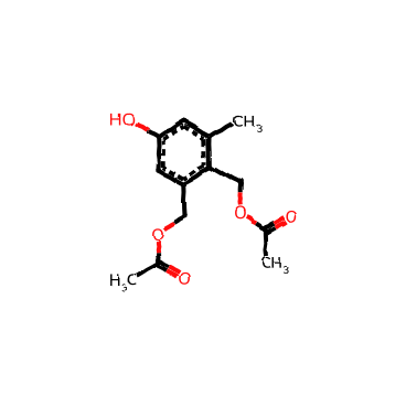 CC(=O)OCc1cc(O)cc(C)c1COC(C)=O